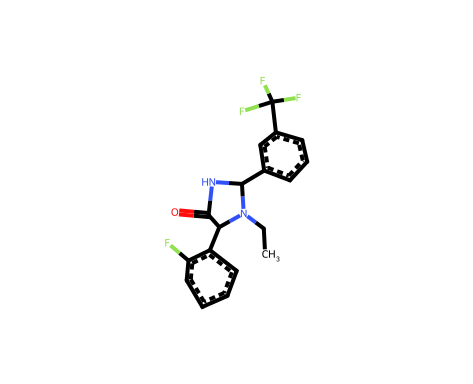 CCN1C(c2cccc(C(F)(F)F)c2)NC(=O)C1c1ccccc1F